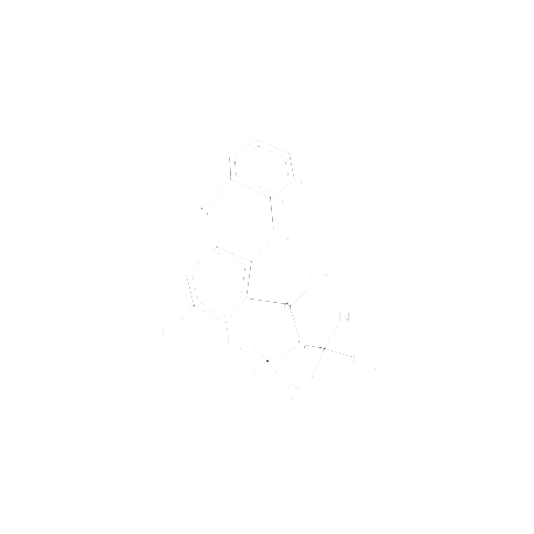 BC(B)(B)N(C(=O)c1cc(O)ccc1Sc1ccccc1N)C(B)(B)B